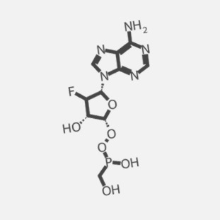 Nc1ncnc2c1ncn2[C@@H]1O[C@H](OOP(O)CO)[C@H](O)C1F